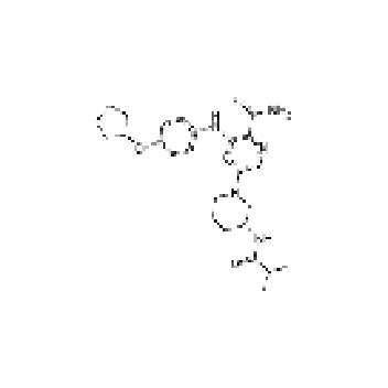 CN(C)C(=O)N[C@@H]1CCCN(c2cnc(C(N)=O)c(Nc3ccc(OC4CCCC4)cc3)n2)C1